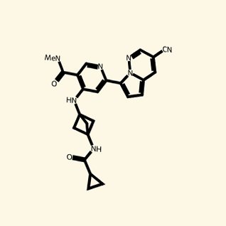 CNC(=O)c1cnc(-c2ccc3cc(C#N)cnn23)cc1NC12CC(NC(=O)C3CC3)(C1)C2